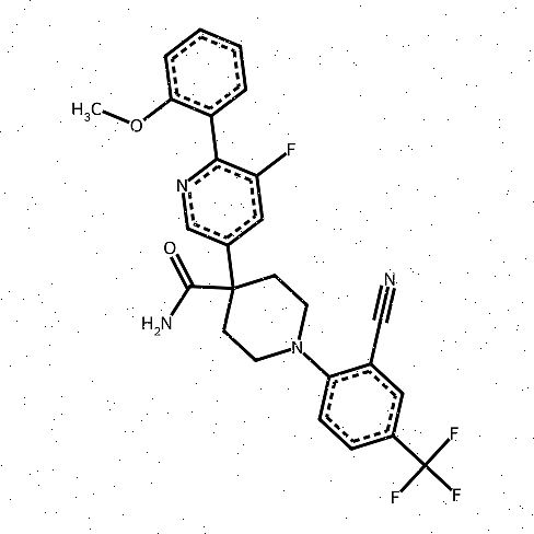 COc1ccccc1-c1ncc(C2(C(N)=O)CCN(c3ccc(C(F)(F)F)cc3C#N)CC2)cc1F